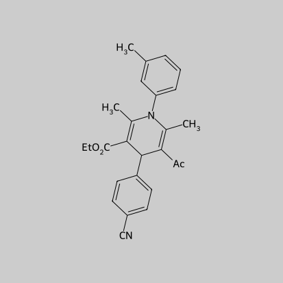 CCOC(=O)C1=C(C)N(c2cccc(C)c2)C(C)=C(C(C)=O)C1c1ccc(C#N)cc1